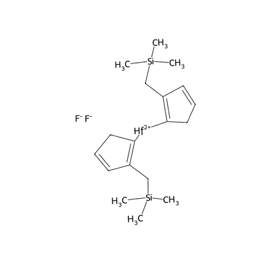 C[Si](C)(C)CC1=[C]([Hf+2][C]2=C(C[Si](C)(C)C)C=CC2)CC=C1.[F-].[F-]